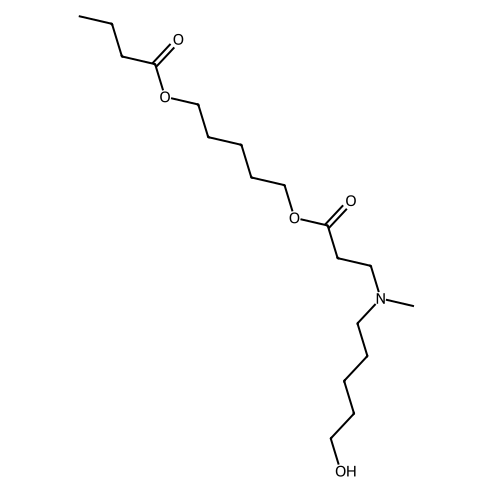 CCCC(=O)OCCCCCOC(=O)CCN(C)CCCCCO